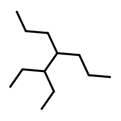 CCCC(CCC)C(CC)CC